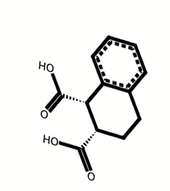 O=C(O)[C@H]1CCc2ccccc2[C@H]1C(=O)O